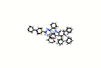 c1ccc(-c2ccc(-c3nc(-c4ccccc4)nc(-c4ccccc4-n4c5ccccc5c5c6c7c(cc54)c4ccccc4n7-c4ccccc4-c4ccccc4-6)n3)cc2)cc1